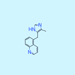 Cc1nc[nH]c1Cc1cccc2ncccc12